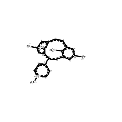 Cc1c2ccc3cc(C(C)(C)C)cc(c(-c4cc[n+](C)cc4)cc1cc(C(C)C)c2)c3C